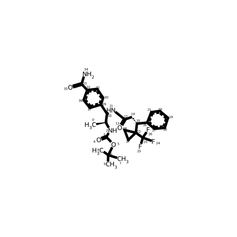 C[C@H](NC(=O)OC(C)(C)C)C(NC(=O)C[C@H](c1ccccc1)C1(C(F)(F)F)CC1)c1ccc(C(N)=O)cc1